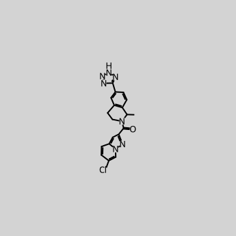 CC1c2ccc(-c3nn[nH]n3)cc2CCN1C(=O)c1cc2ccc(Cl)cn2n1